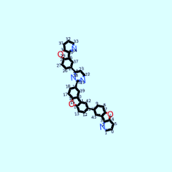 c1cnc2c(c1)oc1ccc(-c3ccc4oc5ccc(-c6nccc(-c7ccc8oc9cccnc9c8c7)n6)cc5c4c3)cc12